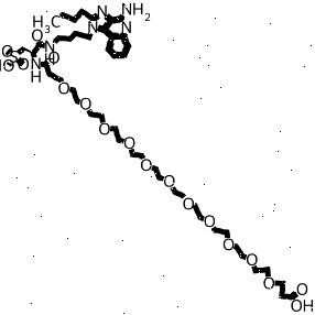 CCCCc1nc2c(N)nc3ccccc3c2n1CCCCNC(=O)[C@H](CS(=O)(=O)O)NC(=O)CCOCCOCCOCCOCCOCCOCCOCCOCCOCCOCCOCCC(=O)O